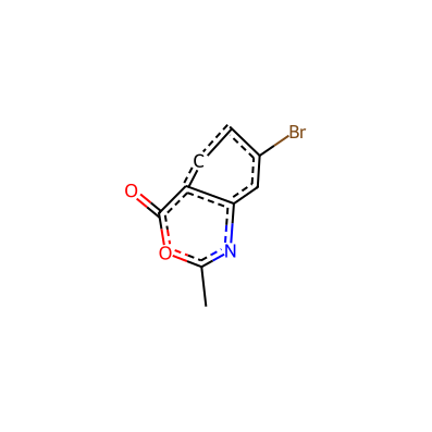 Cc1nc2cc(Br)ccc2c(=O)o1